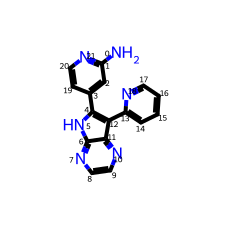 Nc1cc(-c2[nH]c3nccnc3c2-c2ccccn2)ccn1